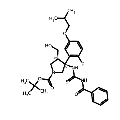 CC(C)COc1ccc(F)c([C@]2(NC(=S)NC(=O)c3ccccc3)CN(C(=O)OC(C)(C)C)C[C@H]2CO)c1